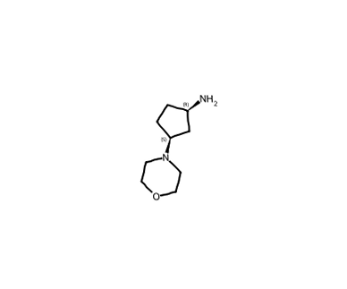 N[C@@H]1CC[C@H](N2CCOCC2)C1